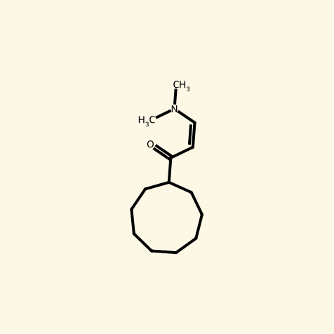 CN(C)/C=C\C(=O)C1CCCCCCCC1